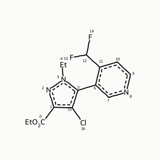 CCOC(=O)c1nn(CC)c(-c2cnccc2C(F)F)c1Cl